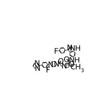 CO[C@@]1(C(=O)Nc2ccc3[nH]nc(-c4ccc(F)cc4)c3c2)CCN(CC(=O)N2CCN(c3ccc(-c4ncccn4)cc3F)CC2)C1